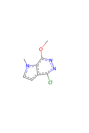 COc1nnc(Cl)c2ccn(C)c12